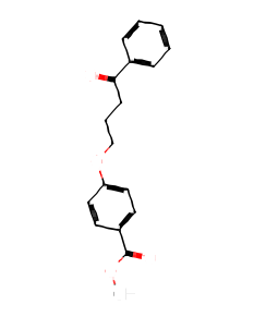 COC(=O)c1ccc(OCCCC(=O)c2ccccc2)cc1